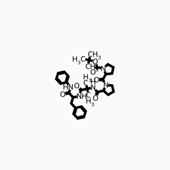 CC(C)(C)OC(=O)N1CCCC1C(=O)N1CCCC1C(=O)NC(C)(C)C(=O)NC(Cc1ccccc1)C(=O)Nc1ccccc1